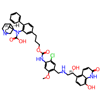 COc1cc(NC(=O)OCCCc2ccc(-c3ccccc3)c(N(C(=O)O)[C@H]3CN4CCC3CC4)c2)c(Cl)cc1CNC[C@H](O)c1ccc(O)c2[nH]c(=O)ccc12